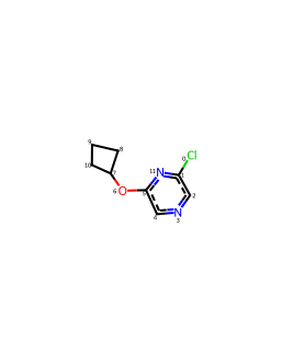 Clc1cncc(OC2CCC2)n1